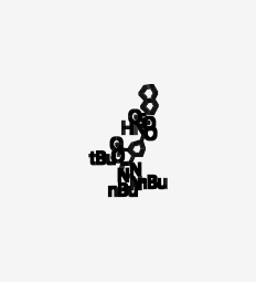 CCCCN(CCCC)c1nccc(-c2ccc(C(=O)NS(=O)(=O)c3ccc4ccccc4c3)cc2C(=O)OC(C)(C)C)n1